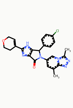 Cc1cc(N2C(=O)c3nc(C4=CCOCC4)[nH]c3C2c2ccc(Cl)cc2)cn2c(C)nnc12